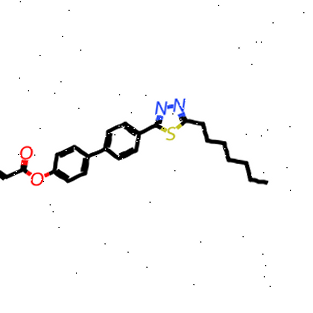 CC=CC(=O)Oc1ccc(-c2ccc(-c3nnc(CCCCCCC)s3)cc2)cc1